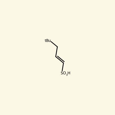 CC(C)(C)CC=CS(=O)(=O)O